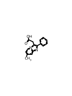 Cc1ccn2c(CC(=O)O)c(-c3ccccc3)nc2c1